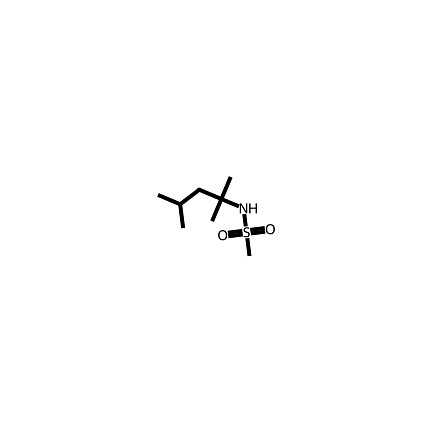 CC(C)CC(C)(C)NS(C)(=O)=O